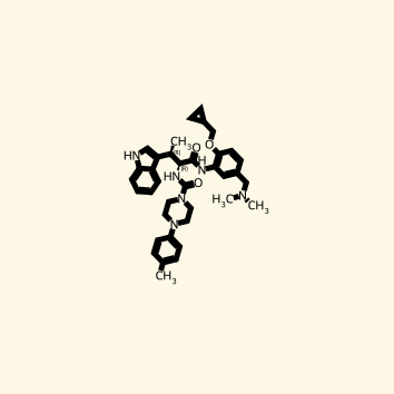 Cc1ccc(N2CCN(C(=O)N[C@@H](C(=O)Nc3cc(CN(C)C)ccc3OCC3CC3)[C@H](C)c3c[nH]c4ccccc34)CC2)cc1